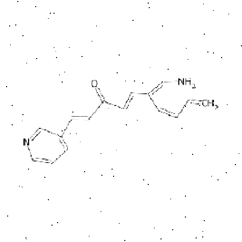 C=C\C=C/C(/C=C/C(=O)/C=C/c1cccnc1)=C\N